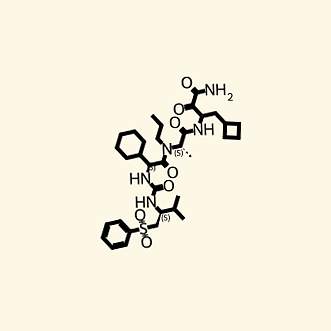 CCCN(C(=O)[C@@H](NC(=O)N[C@H](CS(=O)(=O)c1ccccc1)C(C)C)C1CCCCC1)[C@@H](C)C(=O)NC(CC1CCC1)C(=O)C(N)=O